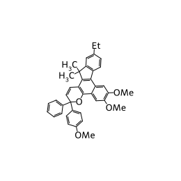 CCc1ccc2c(c1)C(C)(C)c1c3c(c4cc(OC)c(OC)cc4c1-2)OC(c1ccccc1)(c1ccc(OC)cc1)C=C3